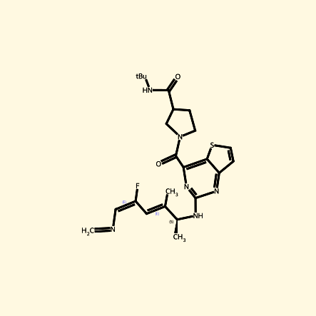 C=N/C=C(F)\C=C(/C)[C@H](C)Nc1nc(C(=O)N2CCC(C(=O)NC(C)(C)C)C2)c2sccc2n1